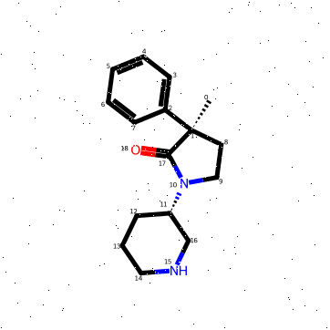 C[C@]1(c2ccccc2)CCN([C@H]2CCCNC2)C1=O